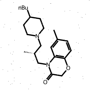 CCCCC1CCN(C[C@@H](C)CN2C(=O)COc3ccc(C)cc32)CC1